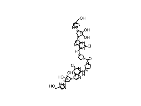 O=C(N1CC[C@@H](Nc2nc(Cl)nc3c2ncn3[C@@H]2C[C@H](n3ncc(CO)n3)[C@@H](O)[C@H]2O)C1)N1CC[C@@H](Nc2nc(Cl)nc3c2ncn3[C@@H]2C[C@H](n3ncc(CO)n3)[C@@H](O)[C@H]2O)C1